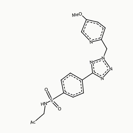 COc1ccc(Cn2nnc(-c3ccc(S(=O)(=O)NCC(C)=O)cc3)n2)nc1